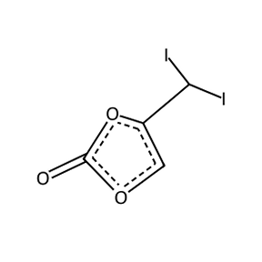 O=c1occ(C(I)I)o1